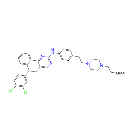 COCCN1CCN(CCc2ccc(Nc3ncc4c(n3)-c3ccccc3C(c3ccc(Cl)c(Cl)c3)C4)cc2)CC1